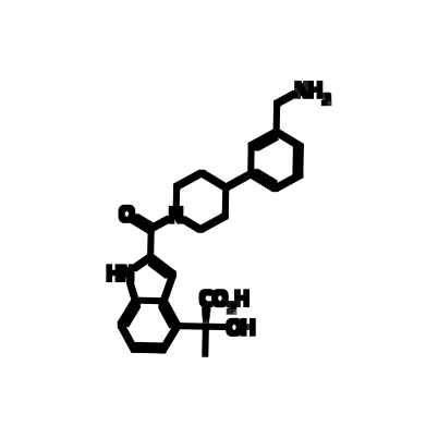 C[C@](O)(C(=O)O)c1cccc2[nH]c(C(=O)N3CCC(c4cccc(CN)c4)CC3)cc12